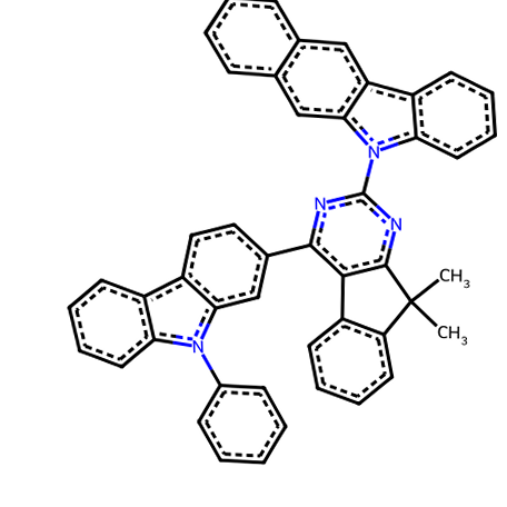 CC1(C)c2ccccc2-c2c(-c3ccc4c5ccccc5n(-c5ccccc5)c4c3)nc(-n3c4ccccc4c4cc5ccccc5cc43)nc21